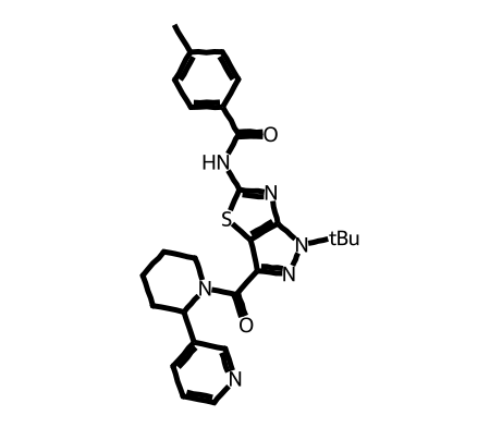 Cc1ccc(C(=O)Nc2nc3c(s2)c(C(=O)N2CCCCC2c2cccnc2)nn3C(C)(C)C)cc1